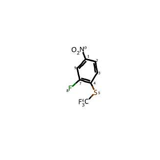 O=[N+]([O-])c1ccc(SC(F)(F)F)c(F)c1